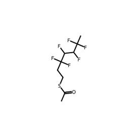 CC(=O)SCCC(F)(F)C(F)C(F)C(C)(F)F